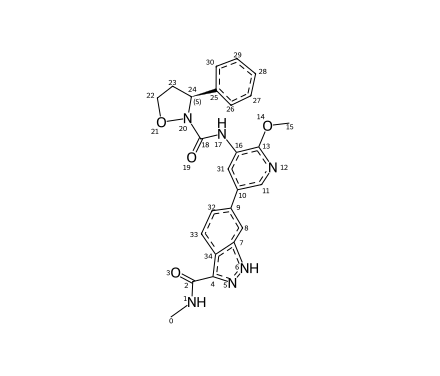 CNC(=O)c1n[nH]c2cc(-c3cnc(OC)c(NC(=O)N4OCC[C@H]4c4ccccc4)c3)ccc12